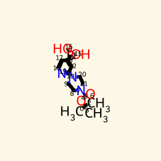 CC(C)(C)OC(=O)N1CCN(c2cc(B(O)O)ccn2)CC1